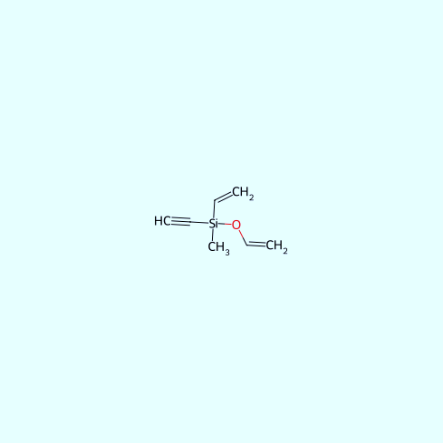 C#C[Si](C)(C=C)OC=C